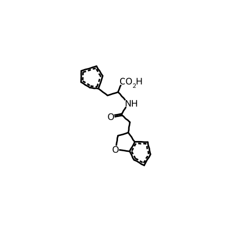 O=C(CC1COc2ccccc21)NC(Cc1ccccc1)C(=O)O